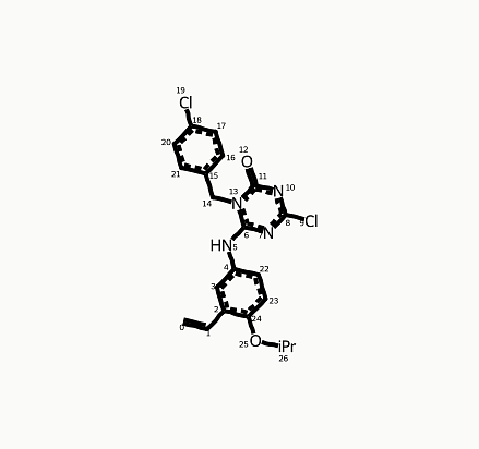 C=Cc1cc(Nc2nc(Cl)nc(=O)n2Cc2ccc(Cl)cc2)ccc1OC(C)C